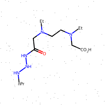 CCCNNNC(=O)CN(CC)CCN(CC)CC(=O)O